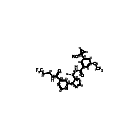 C[C@H](NC(=O)c1cc(OC(F)(F)F)cc(C2(C#N)CC2)c1)c1ncnn1-c1cc(C(=O)NCCC(F)(F)F)ncn1